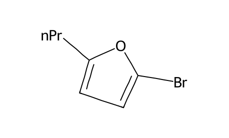 CCCc1ccc(Br)o1